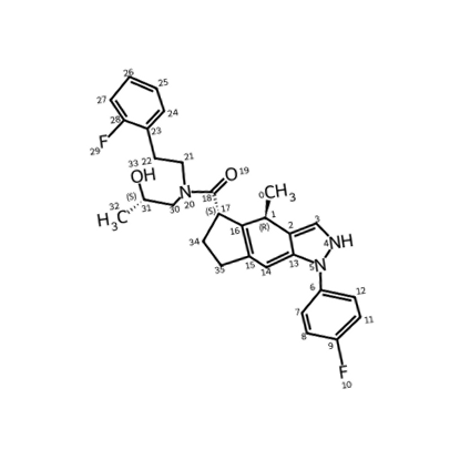 C[C@H]1C2=CNN(c3ccc(F)cc3)C2=CC2=C1[C@@H](C(=O)N(CCc1ccccc1F)C[C@H](C)O)CC2